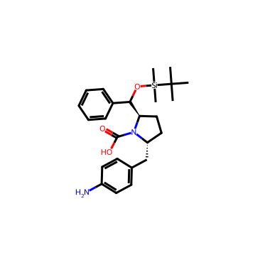 CC(C)(C)[Si](C)(C)OC(c1ccccc1)[C@H]1CC[C@H](Cc2ccc(N)cc2)N1C(=O)O